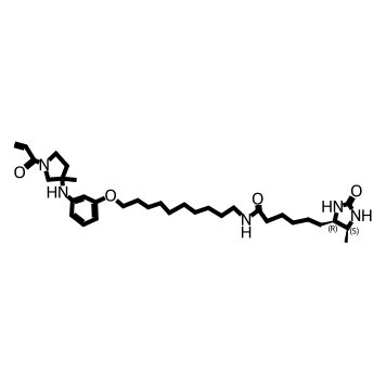 C=CC(=O)N1CCC(C)(Nc2cccc(OCCCCCCCCCCNC(=O)CCCCC[C@H]3NC(=O)N[C@H]3C)c2)C1